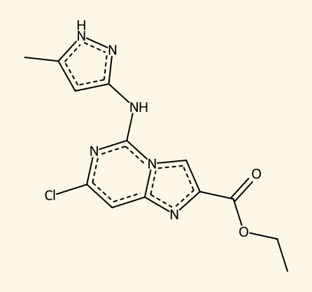 CCOC(=O)c1cn2c(Nc3cc(C)[nH]n3)nc(Cl)cc2n1